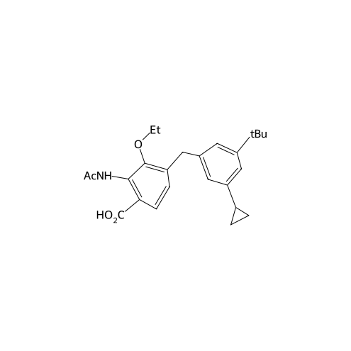 CCOc1c(Cc2cc(C3CC3)cc(C(C)(C)C)c2)ccc(C(=O)O)c1NC(C)=O